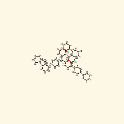 c1ccc(-c2ccc(-c3ccc(N(c4ccc(-c5cccc6c5oc5ccccc56)cc4)c4ccccc4-c4cccc5cccc(-c6ccccc6)c45)cc3)cc2)cc1